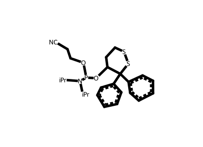 CC(C)N(C(C)C)P(OCCC#N)OC1CCSSC1(c1ccccc1)c1ccccc1